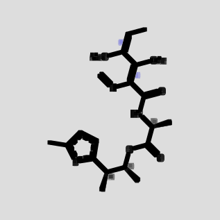 C=N/C(C(=O)N[C@@H](C)C(=O)O[C@@H](C)[C@@H](C)c1ccc(C)s1)=C(OC(C)=O)\C(=C/C)OC